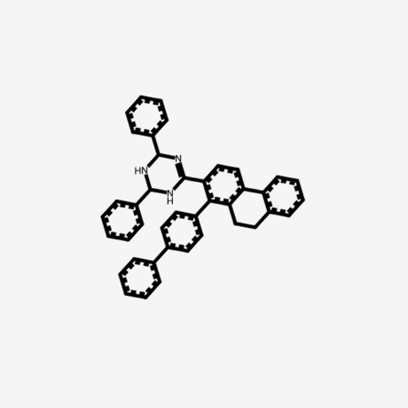 c1ccc(-c2ccc(-c3c(C4=NC(c5ccccc5)NC(c5ccccc5)N4)ccc4c3CCc3ccccc3-4)cc2)cc1